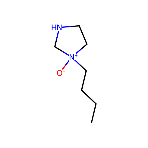 CCCC[N+]1([O-])CCNC1